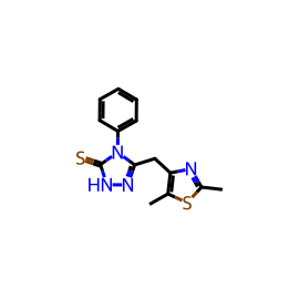 Cc1nc(Cc2n[nH]c(=S)n2-c2ccccc2)c(C)s1